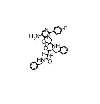 Nc1cnc(-c2ccc(F)cc2)n(CC(=O)N[C@@H](Cc2ccccc2)C(=O)C(F)(F)C(=O)NCc2ccccc2)c1=O